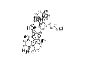 CC1CCC(C(C)C)C(C2(C3CC(C)CCC3C(C)C)COC3(CCC4=C5C(CCCCCCl)C[C@]6(C)C(=O)CC[C@H]6[C@@H]5CC[C@@]4(O)C3)OC2)C1